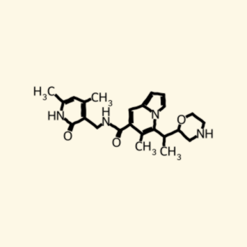 Cc1cc(C)c(CNC(=O)c2cc3cccn3c(C(C)C3CNCCO3)c2C)c(=O)[nH]1